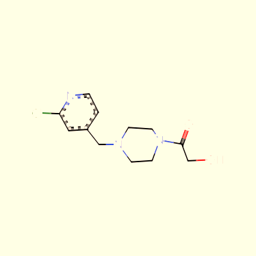 O=C(CO)N1CCN(Cc2ccnc(Cl)c2)CC1